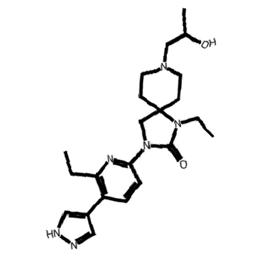 CCc1nc(N2CC3(CCN(CC(C)O)CC3)N(CC)C2=O)ccc1-c1cn[nH]c1